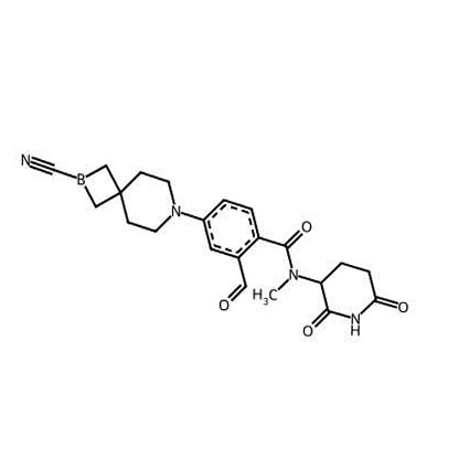 CN(C(=O)c1ccc(N2CCC3(CC2)CB(C#N)C3)cc1C=O)C1CCC(=O)NC1=O